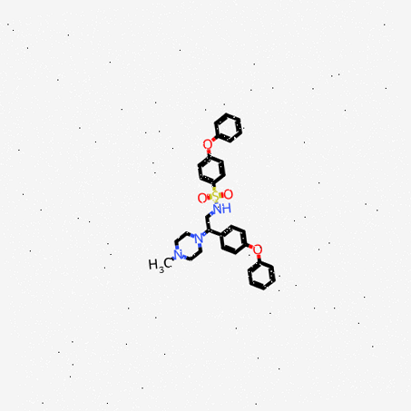 CN1CCN(C(CNS(=O)(=O)c2ccc(Oc3ccccc3)cc2)c2ccc(Oc3ccccc3)cc2)CC1